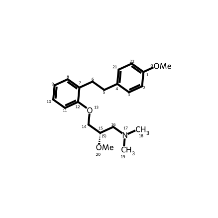 COc1ccc(CCc2ccccc2OC[C@H](CN(C)C)OC)cc1